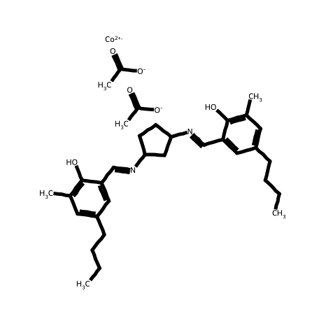 CC(=O)[O-].CC(=O)[O-].CCCCc1cc(C)c(O)c(C=NC2CCC(N=Cc3cc(CCCC)cc(C)c3O)C2)c1.[Co+2]